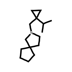 CC(C)C1(CN2CCC3(CCCC3)C2)CC1